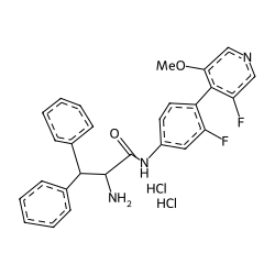 COc1cncc(F)c1-c1ccc(NC(=O)C(N)C(c2ccccc2)c2ccccc2)cc1F.Cl.Cl